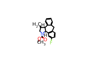 C=C1CN(C(=O)OC)[C@@H]2c3cc(F)ccc3Cc3ccccc3[C@@H]12